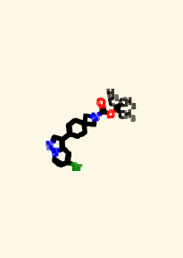 CC(C)(C)OC(=O)N1CC2(CC=C(c3cnn4ccc(Br)cc34)CC2)C1